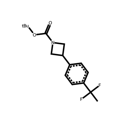 CC(C)(C)OC(=O)N1CC(c2ccc(C(C)(F)F)cc2)C1